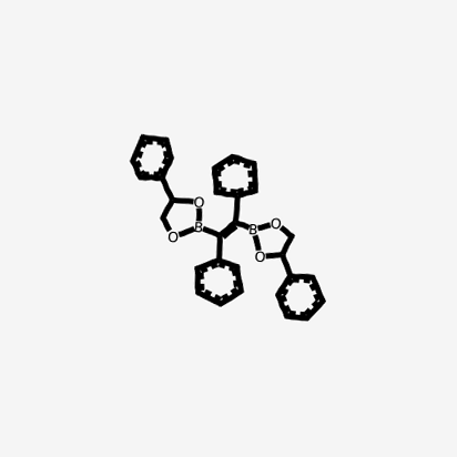 c1ccc(/C(B2OCC(c3ccccc3)O2)=C(\B2OCC(c3ccccc3)O2)c2ccccc2)cc1